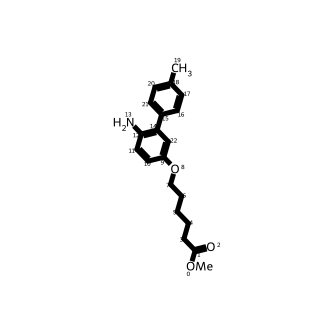 COC(=O)CCCCCOc1ccc(N)c(-c2ccc(C)cc2)c1